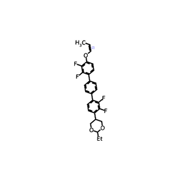 C/C=C\Oc1ccc(-c2ccc(-c3ccc(C4COC(CC)OC4)c(F)c3F)cc2)c(F)c1F